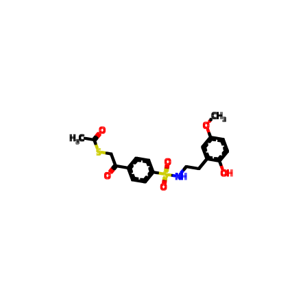 COc1ccc(O)c(CCNS(=O)(=O)c2ccc(C(=O)CSC(C)=O)cc2)c1